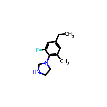 CCc1cc(C)c(N2CCNC2)c(F)c1